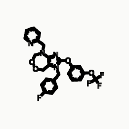 Fc1ccc(Cn2c(Oc3cccc(OC(F)(F)F)c3)nc3c2COOCN3Cc2ccccn2)cc1